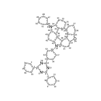 c1ccc(-c2nc(-c3ccccc3)nc(-c3ccc(-n4c5ccc6oc7cccc8c9cccc%10c9c9c(c5c6c78)c4ccc9n%10-c4ccccc4)cc3)n2)cc1